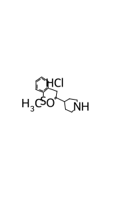 CSc1ccccc1CC(=O)C1CCNCC1.Cl